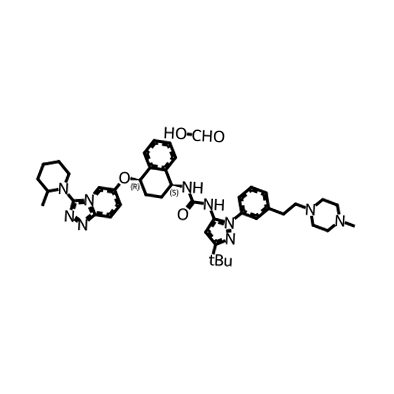 CC1CCCCN1c1nnc2ccc(O[C@@H]3CC[C@H](NC(=O)Nc4cc(C(C)(C)C)nn4-c4cccc(CCN5CCN(C)CC5)c4)c4ccccc43)cn12.O=CO